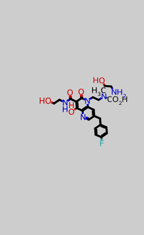 CN(CCn1c(=O)c(C(=O)NCCO)c(O)c2ncc(Cc3ccc(F)cc3)cc21)C(=O)O.NCCO